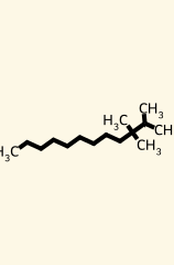 CCCCCCCCCC(C)(C)[C](C)C